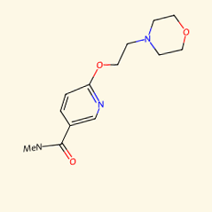 CNC(=O)c1ccc(OCCN2CCOCC2)nc1